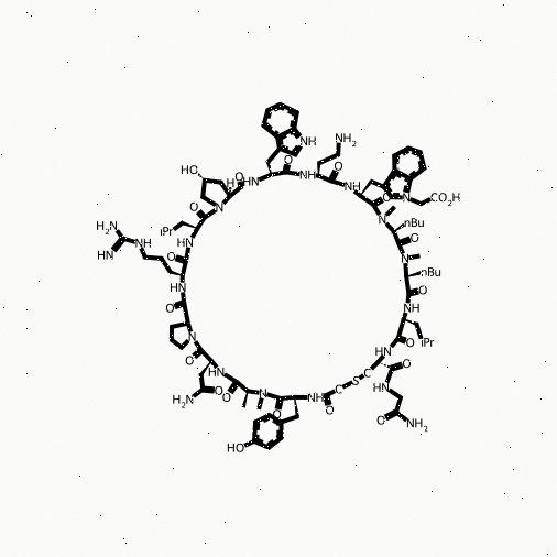 CCCC[C@H]1C(=O)N(C)[C@@H](CCCC)C(=O)N[C@@H](CC(C)C)C(=O)N[C@H](C(=O)NCC(N)=O)CSCC(=O)N[C@@H](Cc2ccc(O)cc2)C(=O)N(C)[C@@H](C)C(=O)N[C@@H](CC(N)=O)C(=O)N2CCCC2C(=O)N[C@@H](CCCNC(=N)N)C(=O)N[C@@H](CC(C)C)C(=O)N2C[C@H](O)C[C@H]2C(=O)N[C@@H](Cc2c[nH]c3ccccc23)C(=O)N[C@@H](CCN)C(=O)N[C@@H](Cc2cn(CC(=O)O)c3ccccc23)C(=O)N1C